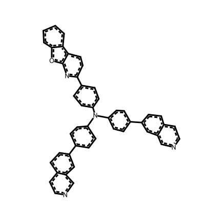 c1ccc2c(c1)oc1nc(-c3ccc(N(c4ccc(-c5ccc6ccncc6c5)cc4)c4ccc(-c5ccc6ccncc6c5)cc4)cc3)ccc12